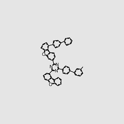 Cc1cccc(-c2ccc(-c3nc(-c4ccc5c(c4)oc4cccc(-c6ccc(-c7ccccc7)cc6)c45)nc(-c4cccc5oc6ccccc6c45)n3)cc2)c1